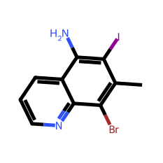 Cc1c(I)c(N)c2cccnc2c1Br